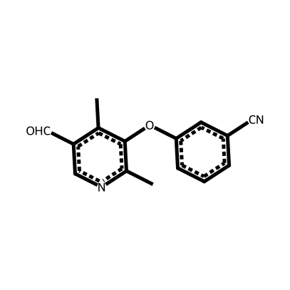 Cc1ncc(C=O)c(C)c1Oc1cccc(C#N)c1